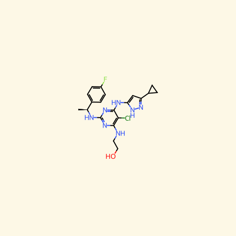 C[C@H](Nc1nc(NCCO)c(Cl)c(Nc2cc(C3CC3)n[nH]2)n1)c1ccc(F)cc1